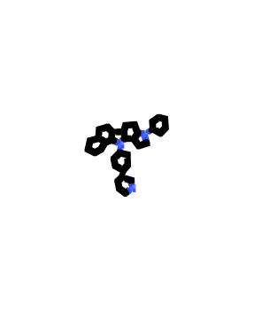 c1ccc(-n2ccc3c2ccc2c4ccc5ccccc5c4n(-c4ccc(-c5cccnc5)cc4)c23)cc1